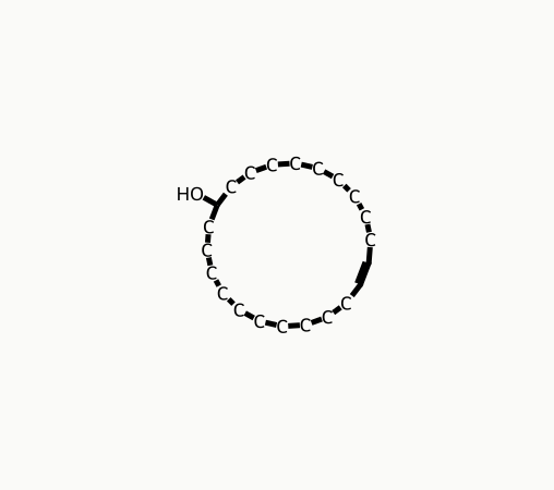 OC1CCCCCCCCCC=CCCCCCCCCCC1